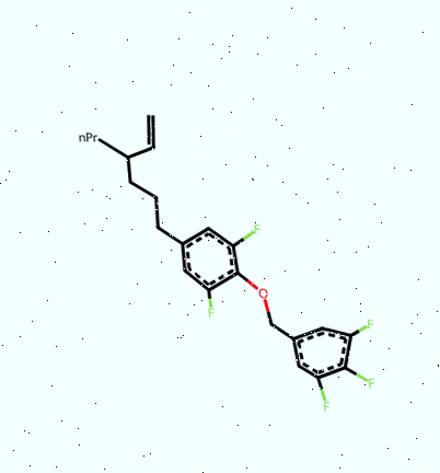 C=CC(CCC)CCCc1cc(F)c(OCc2cc(F)c(F)c(F)c2)c(F)c1